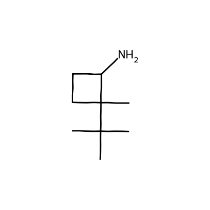 CC(C)(C)C1(C)CCC1N